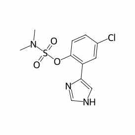 CN(C)S(=O)(=O)Oc1ccc(Cl)cc1-c1c[nH]cn1